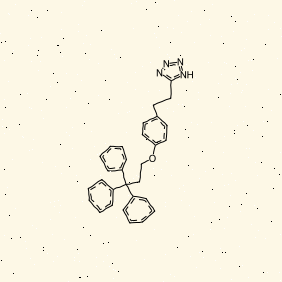 c1ccc(C(CCOc2ccc(CCc3nnn[nH]3)cc2)(c2ccccc2)c2ccccc2)cc1